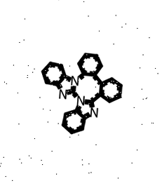 c1ccc2c(c1)nc1n2c2ccccc2c2ccccc2c2nc3ccccc3n21